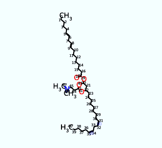 CCCCCC=CCC=CCCCCCCCC(=O)OCCC(CCCCCCCC/C=C\C/C=C\CCCCC)OC(=O)CCN(C)C